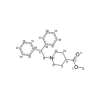 COC(=O)C1CCN(CC(c2ccccc2)c2ccccc2)CC1